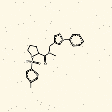 Cc1ccc(S(=O)(=O)N2CCCC2C(=O)N(C)Cc2cnn(-c3ccccc3)c2)cc1